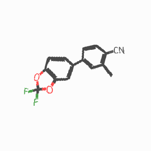 Cc1cc(-c2ccc3c(c2)OC(F)(F)O3)ccc1C#N